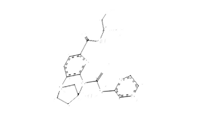 O=C(N[C@H](CO)C(F)(F)F)c1ccc2c(n1)N(C(=O)Nc1cnccn1)[C@H]1CCN2C1